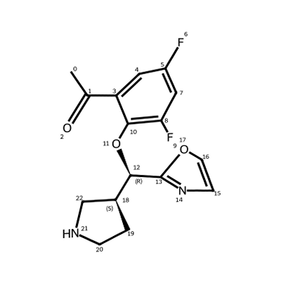 CC(=O)c1cc(F)cc(F)c1O[C@@H](c1ncco1)[C@H]1CCNC1